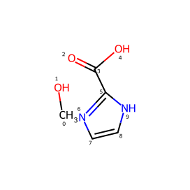 CO.O=C(O)c1ncc[nH]1